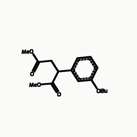 COC(=O)CC(C(=O)OC)c1cccc(OCC(C)C)c1